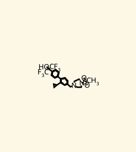 CS(=O)(=O)N1CCN(Cc2ccc(-c3ccc(C(O)(C(F)(F)F)C(F)(F)F)cc3)c(C3CC3)c2)CC1